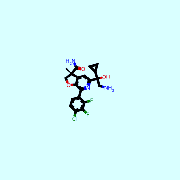 C[C@]1(C(N)=O)COc2c1cc(C(O)(CN)C1CC1)nc2-c1ccc(Cl)c(F)c1F